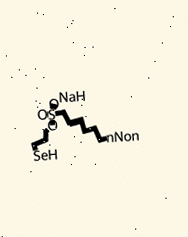 CCCCCCCCCCCCC=CCS(=O)(=O)OCCC[SeH].[NaH]